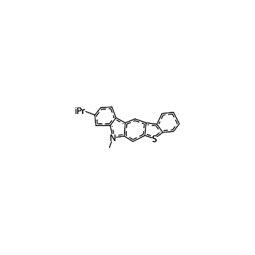 CC(C)c1ccc2c3cc4c(cc3n(C)c2c1)sc1ccccc14